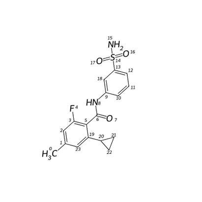 Cc1cc(F)c(C(=O)Nc2cccc(S(N)(=O)=O)c2)c(C2CC2)c1